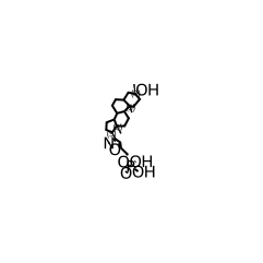 C[C@@]1(O)CC[C@@]2(C)C(CCC3C2CC[C@@]2(C)C3CC[C@@H]2c2cc(COP(=O)(O)O)on2)C1